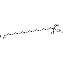 CCCCCCCCCCCCCCP(C)(=O)O